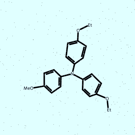 CCOc1ccc(N(c2ccc(OC)cc2)c2ccc(OCC)cc2)cc1